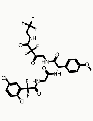 COc1ccc([C@H](NC(=O)CNC(=O)C(F)(F)c2cc(Cl)ccc2Cl)C(=O)NCC(=O)C(F)(F)C(=O)NCC(F)(F)F)cc1